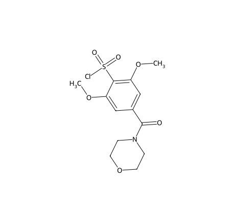 COc1cc(C(=O)N2CCOCC2)cc(OC)c1S(=O)(=O)Cl